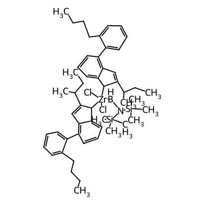 CCCCc1ccccc1-c1cccc2c1C=C(C(C)CC)[CH]2[Zr]([Cl])([Cl])([BH]N([Si](C)(C)C)[Si](C)(C)C)[CH]1C(C(C)CC)=Cc2c(-c3ccccc3CCCC)cccc21